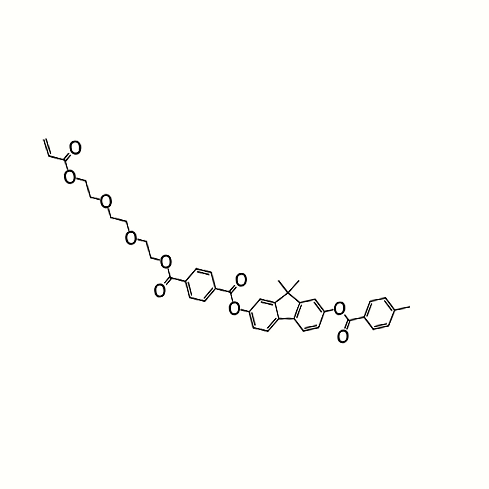 C=CC(=O)OCCOCCOCCOC(=O)c1ccc(C(=O)Oc2ccc3c(c2)C(C)(C)c2cc(OC(=O)c4ccc(C)cc4)ccc2-3)cc1